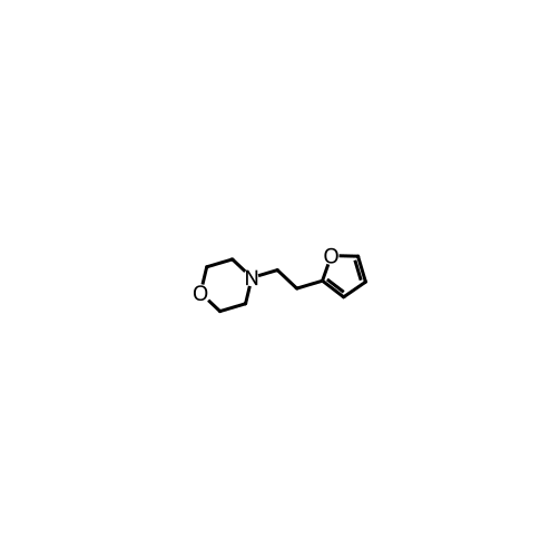 c1coc(CCN2CCOCC2)c1